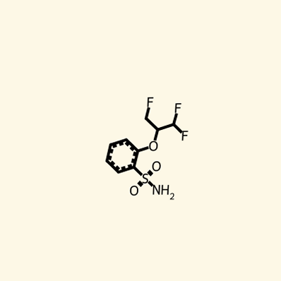 NS(=O)(=O)c1ccccc1OC(CF)C(F)F